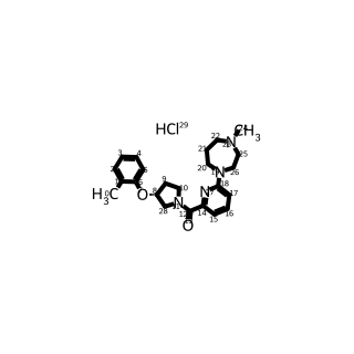 Cc1ccccc1O[C@@H]1CCN(C(=O)c2cccc(N3CCCN(C)CC3)n2)C1.Cl